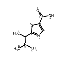 CC(c1ncc(S(=O)O)s1)N(C)C